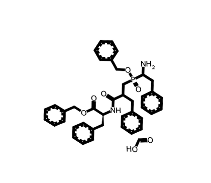 NC(Cc1ccccc1)P(=O)(CC(Cc1ccccc1)C(=O)N[C@@H](Cc1ccccc1)C(=O)OCc1ccccc1)OCc1ccccc1.O=CO